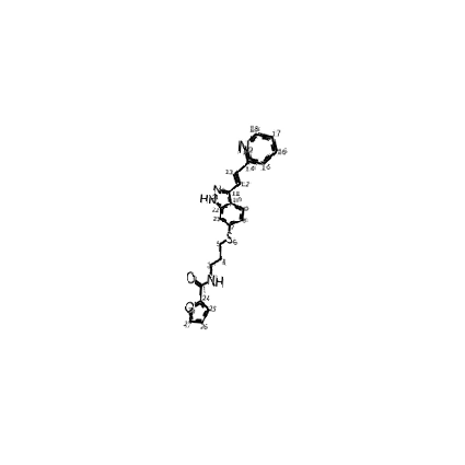 O=C(NCCCSc1ccc2c(C=Cc3ccccn3)n[nH]c2c1)c1ccco1